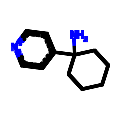 NC1(c2ccncc2)CCCCC1